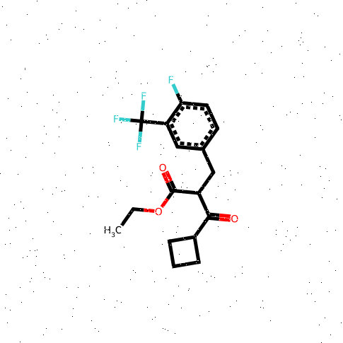 CCOC(=O)C(Cc1ccc(F)c(C(F)(F)F)c1)C(=O)C1CCC1